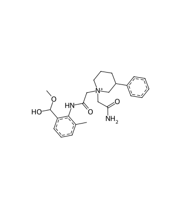 COC(O)c1cccc(C)c1NC(=O)C[N+]1(CC(N)=O)CCCC(c2ccccc2)C1